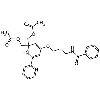 CC(=O)OCC1(COC(C)=O)C=C(OCCCNC(=O)c2ccccc2)C=C(c2ccccn2)N1